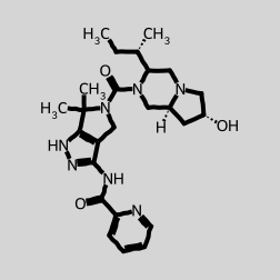 CC[C@H](C)C1CN2C[C@H](O)C[C@H]2CN1C(=O)N1Cc2c(NC(=O)c3ccccn3)n[nH]c2C1(C)C